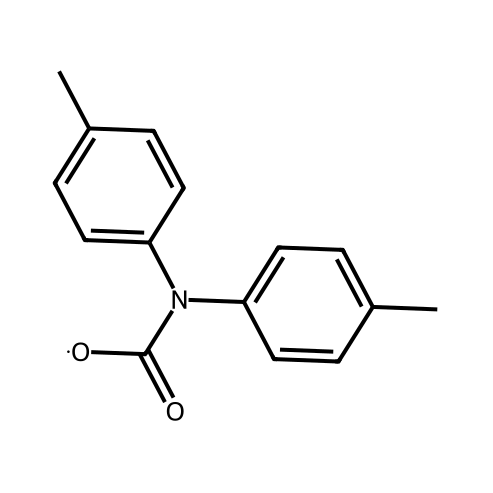 Cc1ccc(N(C([O])=O)c2ccc(C)cc2)cc1